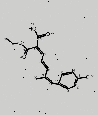 CCOC(=O)C(=CC=CC(C)=Cc1ccc(Cl)cc1)C(=O)O